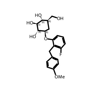 COc1ccc(Cc2c(F)cccc2O[C@@H]2C[C@H](CO)[C@@H](O)[C@H](O)[C@H]2O)cc1